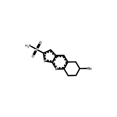 CC(C)(C)C1CCc2nc3sc(S(N)(=O)=O)cc3cc2C1